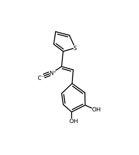 [C-]#[N+]/C(=C\c1ccc(O)c(O)c1)c1cccs1